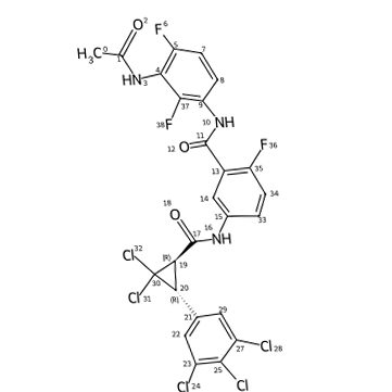 CC(=O)Nc1c(F)ccc(NC(=O)c2cc(NC(=O)[C@H]3[C@H](c4cc(Cl)c(Cl)c(Cl)c4)C3(Cl)Cl)ccc2F)c1F